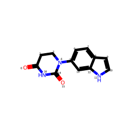 O=C1CCN(c2ccc3cc[nH]c3c2)C(=O)N1